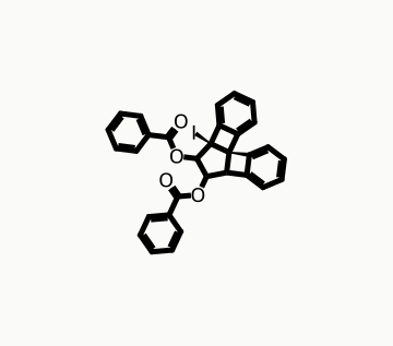 O=C(OC1C2c3ccccc3[C@@]23c2ccccc2[C@@]3(I)C1OC(=O)c1ccccc1)c1ccccc1